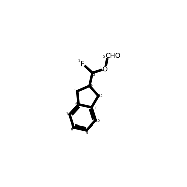 O=COC(F)C1Cc2ccccc2C1